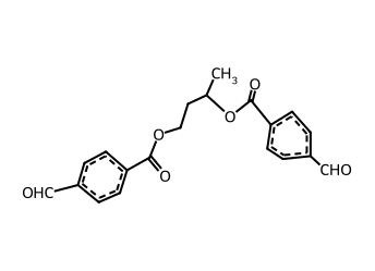 CC(CCOC(=O)c1ccc(C=O)cc1)OC(=O)c1ccc(C=O)cc1